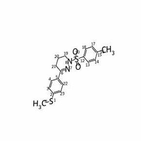 CSc1ccc(C2=NN(S(=O)(=O)c3ccc(C)cc3)CCC2)cc1